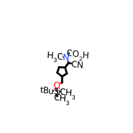 CN(C(=O)O)C(C#N)C1CCC(CO[Si](C)(C)C(C)(C)C)C1